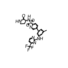 Cc1cc(Nc2nccc(C(F)(F)F)n2)cc(-c2ccc(S(=O)(=O)NC3CCNC3=O)nc2)c1